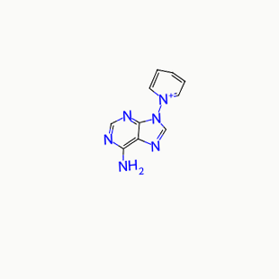 Nc1ncnc2c1ncn2-[n+]1ccccc1